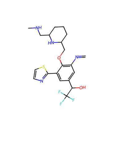 C=Nc1cc(C(O)C(F)(F)F)cc(-c2nccs2)c1OCC1CCCC(CNC)N1